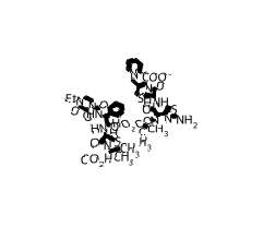 CC(C)(O/N=C(\C(=O)N[C@@H]1C(=O)N2C(C(=O)[O-])=C(C[n+]3ccccc3)CS[C@H]12)c1csc(N)n1)C(=O)O.CCN1CCN(C(=O)N[C@@H](C(=O)N[C@@H]2C(=O)N3[C@@H]2SC(C)(C)[C@@H]3C(=O)O)c2ccccc2)C(=O)C1=O